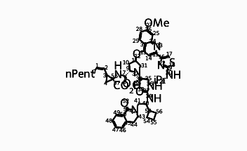 CCCCC/C=C\C1C[C@]1(NC(=O)[C@@H]1CC(Oc2cc(-c3csc(NC(C)C)n3)nc3cc(OC)ccc23)CN1C(=O)CNC(=O)N[C@H](CN1CCc2ccccc2C1=O)C1CCC1)C(=O)O